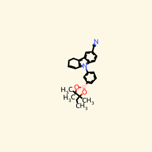 CCC1(C)OB(c2cccc(-n3c4c(c5cc(C#N)ccc53)CCC=C4)c2)OC1(C)C